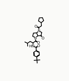 CC(C)CC(NC(=O)c1ccc(C(C)(C)C)cc1)C(=O)N1CCC2C1C(=O)CN2C(=O)CC1CCCC1